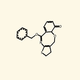 O=C1C=CC=C2/C(OCc3ccccc3)=N\C3=C(CCS3)COC12